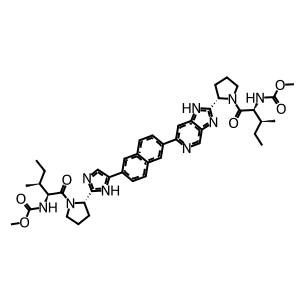 CC[C@H](C)[C@H](NC(=O)OC)C(=O)N1CCC[C@H]1c1ncc(-c2ccc3cc(-c4cc5[nH]c([C@@H]6CCCN6C(=O)[C@@H](NC(=O)OC)[C@@H](C)CC)nc5cn4)ccc3c2)[nH]1